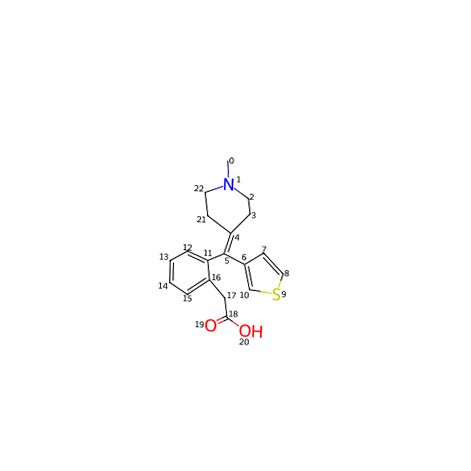 CN1CCC(=C(c2ccsc2)c2ccccc2CC(=O)O)CC1